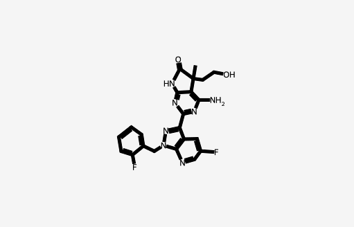 CC1(CCO)C(=O)Nc2nc(-c3nn(Cc4ccccc4F)c4ncc(F)cc34)nc(N)c21